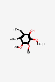 CCCCCCCCCCc1c(O)c(OC(=O)O)c(OCC)c(OCC)c1CCCCCCCCCC